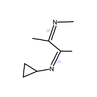 C/N=C(C)\C(C)=N/C1CC1